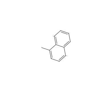 Cc1cc[c]c2ccc[c]c12